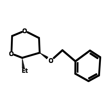 CC[C@@H]1OCOC[C@@H]1OCc1ccccc1